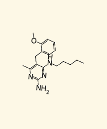 CCCCCNc1nc(N)nc(C)c1Cc1ccccc1OC